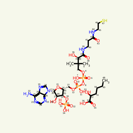 CC(C)(COP(=O)(O)OP(=O)(O)OC[C@H]1O[C@@H](n2cnc3c(N)ncnc32)[C@H](O)[C@@H]1OP(=O)(O)O)[C@@H](O)C(=O)NCCC(=O)NCCS.CCCCC(O)C(=O)O